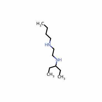 CCCCNCCNC(CC)CC